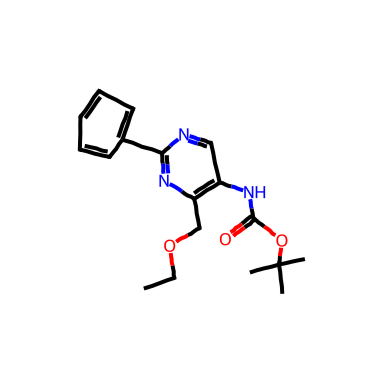 CCOCc1nc(-c2ccccc2)ncc1NC(=O)OC(C)(C)C